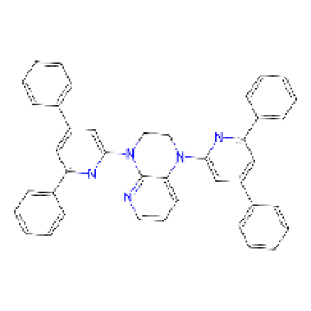 c1ccc(-c2cc(-c3ccccc3)nc(N3CCN(c4cc(-c5ccccc5)cc(-c5ccccc5)n4)c4ncccc43)c2)cc1